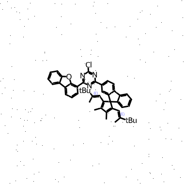 CC1=C(/C=C(\C)C(C)(C)C)C2(C(/C=C(\C)C(C)(C)C)=C1C)c1ccccc1-c1ccc(-c3nc(Cl)nc(-c4cccc5c4oc4ccccc45)n3)cc12